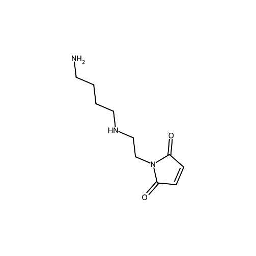 NCCCCNCCN1C(=O)C=CC1=O